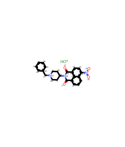 Cl.O=C1c2cccc3c([N+](=O)[O-])ccc(c23)C(=O)N1C1CCN(Cc2ccccc2)CC1